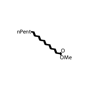 CCCCCC=CC=CC=CC=CC=CC(=O)OC